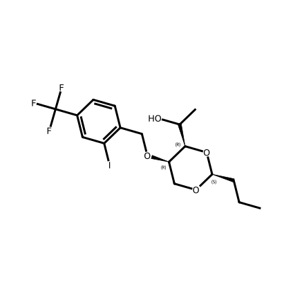 CCC[C@H]1OC[C@@H](OCc2ccc(C(F)(F)F)cc2I)[C@@H](C(C)O)O1